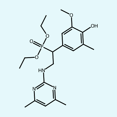 CCOP(=O)(OCC)C(CNc1nc(C)cc(C)n1)c1cc(C)c(O)c(OC)c1